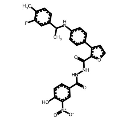 Cc1ccc(C(C)Nc2ccc(-c3ccoc3C(=O)NNC(=O)c3ccc(O)c([N+](=O)[O-])c3)cc2)cc1F